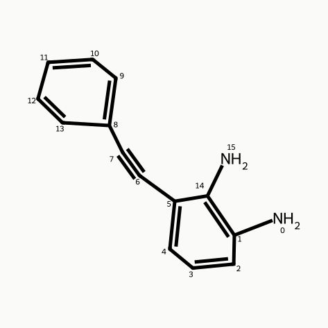 Nc1cccc(C#Cc2ccccc2)c1N